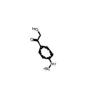 CCCCNc1ccc(C(=O)CO)cc1